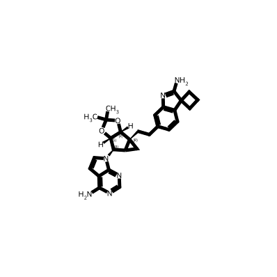 CC1(C)O[C@H]2[C@H](n3ccc4c(N)ncnc43)C3C[C@@]3(CCc3ccc4c(c3)N=C(N)C43CCC3)[C@H]2O1